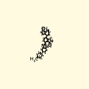 CN1CCN(c2ccc3[nH]c(-c4ccc(-c5ccnc6c5ccn6C)c5c4C(=O)N=C5)nc3c2)CC1